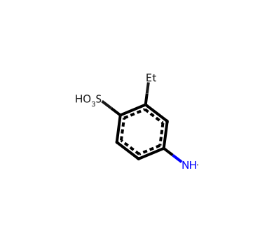 CCc1cc([NH])ccc1S(=O)(=O)O